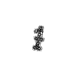 c1ccc(-n2c(-c3ccc(-c4c5ccccc5c(-c5ccc(-n6c7ccccc7c7ccccc76)cc5)c5ccccc45)cc3)nc3ccccc32)cc1